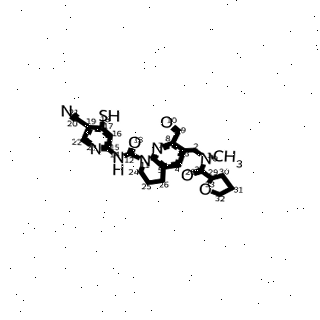 CN(Cc1cc2c(nc1C=O)N(C(=O)Nc1cc(S)c(C#N)cn1)CCC2)C(=O)C1CCCO1